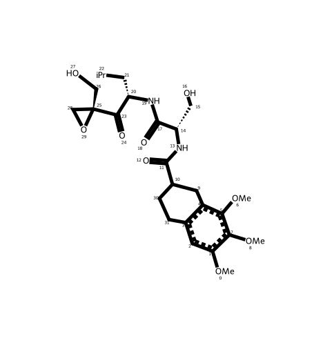 COc1cc2c(c(OC)c1OC)CC(C(=O)N[C@@H](CO)C(=O)N[C@@H](CC(C)C)C(=O)[C@@]1(CO)CO1)CC2